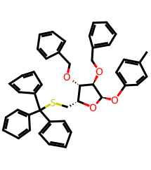 Cc1ccc(O[C@H]2O[C@H](CSC(c3ccccc3)(c3ccccc3)c3ccccc3)[C@H](OCc3ccccc3)[C@H]2OCc2ccccc2)cc1